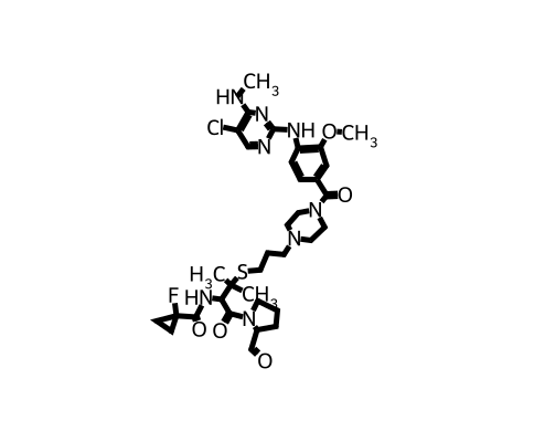 CNc1nc(Nc2ccc(C(=O)N3CCN(CCCSC(C)(C)C(NC(=O)C4(F)CC4)C(=O)N4CCCC4C=O)CC3)cc2OC)ncc1Cl